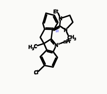 CCC[N+]1=C(/C=C2\N(C)CCN2CC)C(C)(Cc2ccccc2)c2cc(Cl)ccc21